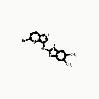 Cc1cc2nc(Nc3c[nH]c4ccc(Br)nc34)[nH]c2cc1C